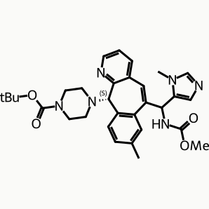 COC(=O)NC(C1=Cc2cccnc2[C@@H](N2CCN(C(=O)OC(C)(C)C)CC2)c2ccc(C)cc21)c1cncn1C